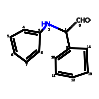 O=[C]C(Nc1ccccc1)c1ccccc1